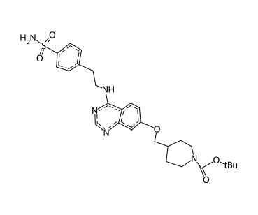 CC(C)(C)OC(=O)N1CCC(COc2ccc3c(NCCc4ccc(S(N)(=O)=O)cc4)ncnc3c2)CC1